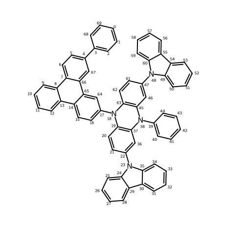 c1ccc(-c2ccc3c4ccccc4c4ccc(N5c6ccc(-n7c8ccccc8c8ccccc87)cc6N(c6ccccc6)c6cc(-n7c8ccccc8c8ccccc87)ccc65)cc4c3c2)cc1